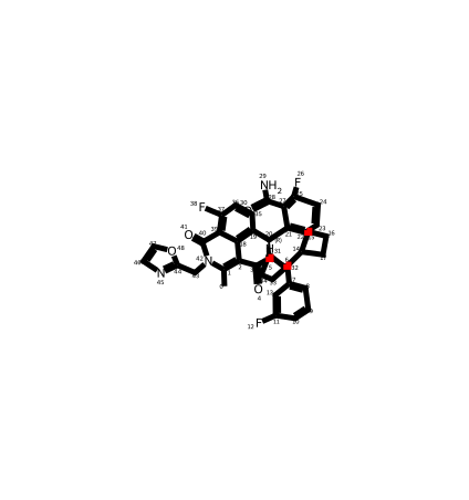 Cc1c(C(=O)N[C@H](c2cccc(F)c2)C2CCC2)c2c([C@@H](c3cccc(F)c3C(N)=O)C3CCC3)ccc(F)c2c(=O)n1Cc1ncco1